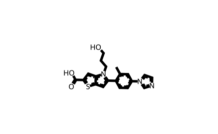 Cc1cc(-n2ccnc2)ccc1-c1cc2sc(C(=O)O)cc2n1CCCO